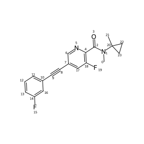 CN(C(=O)c1ncc(C#Cc2cccc(F)c2)cc1F)C1(C)CC1